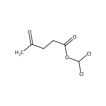 CC(=O)CCC(=O)OC(Cl)Cl